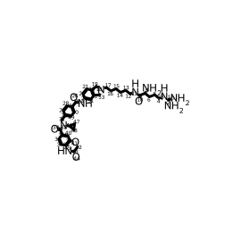 NC(N)NCCC[C@H](N)C(=O)NCCCCCCN1Cc2ccc(NC(=O)c3ccc(CN(C(=O)c4ccc5c(c4)OCC(=O)N5)C4CC4)cc3)cc2C1